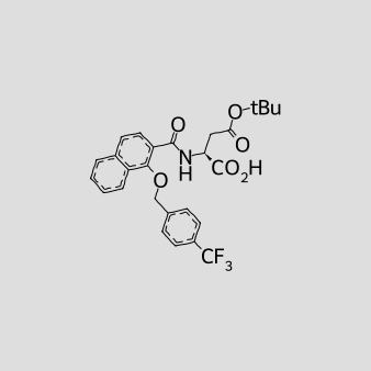 CC(C)(C)OC(=O)C[C@H](NC(=O)c1ccc2ccccc2c1OCc1ccc(C(F)(F)F)cc1)C(=O)O